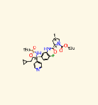 C[C@@H]1C[C@H](C(=O)Nc2cc([C@@](CCC3CC3)(NS(=O)(=O)C(C)(C)C)c3ccncc3)ccc2F)N(C(=O)OC(C)(C)C)C1